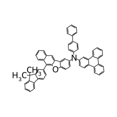 CC1(C)c2ccccc2-c2ccc(-c3c4ccccc4cc4c3oc3ccc(N(c5ccc(-c6ccccc6)cc5)c5ccc6c7ccccc7c7ccccc7c6c5)cc34)cc21